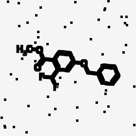 COC(=O)c1ccc(OCc2ccccc2)cc1C(F)F